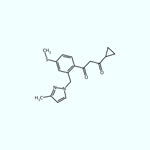 CSc1ccc(C(=O)CC(=O)C2CC2)c(Cn2ccc(C)n2)c1